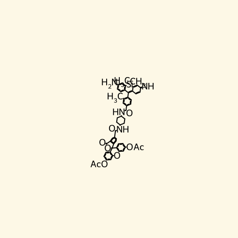 CC(=O)Oc1ccc2c(c1)Oc1cc(OC(C)=O)ccc1C21OC(=O)c2cc(C(=O)NC3CCC(NC(=O)c4ccc(C5=C6C=CC(=N)C=C6[Si](C)(C)c6cc(N)ccc65)c(C)c4)CC3)ccc21